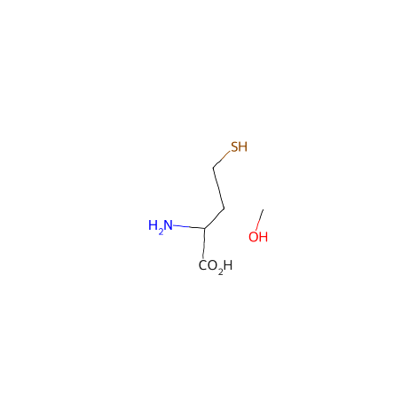 CO.NC(CCS)C(=O)O